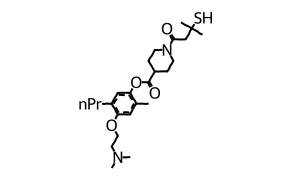 CCCc1cc(OC(=O)C2CCN(C(=O)CC(C)(C)S)CC2)c(C)cc1OCCN(C)C